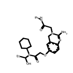 CCC(O)N(C(=O)COc1ccc2c(c1)CN(CC(=O)NC(C)C)C(N)=N2)C1CCCCC1